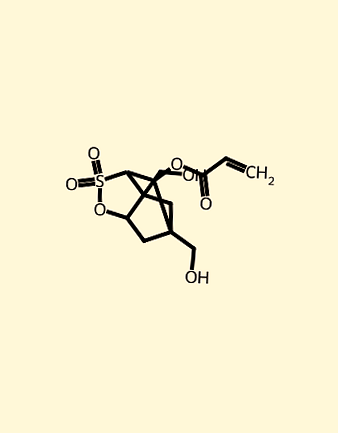 C=CC(=O)OC1C2C3(CO)CC1(CO)CC3OS2(=O)=O